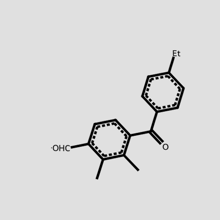 CCc1ccc(C(=O)c2ccc([C]=O)c(C)c2C)cc1